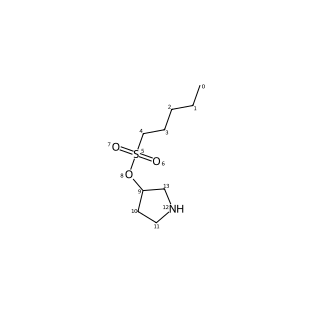 CCCCCS(=O)(=O)OC1CCNC1